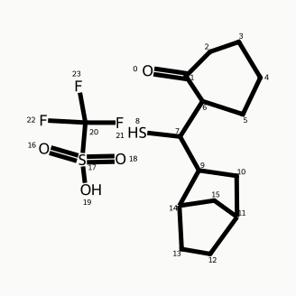 O=C1CCCCC1C(S)C1CC2CCC1C2.O=S(=O)(O)C(F)(F)F